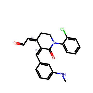 CNc1cccc(/C=C2\C(=O)N(c3ccccc3Cl)CC\C2=C\C=O)c1